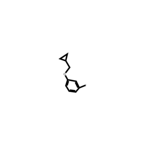 Ic1cccc(OCC2CC2)c1